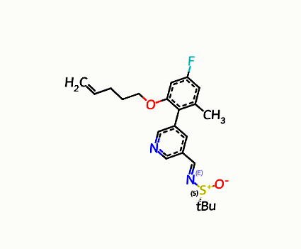 C=CCCCOc1cc(F)cc(C)c1-c1cncc(/C=N/[S@+]([O-])C(C)(C)C)c1